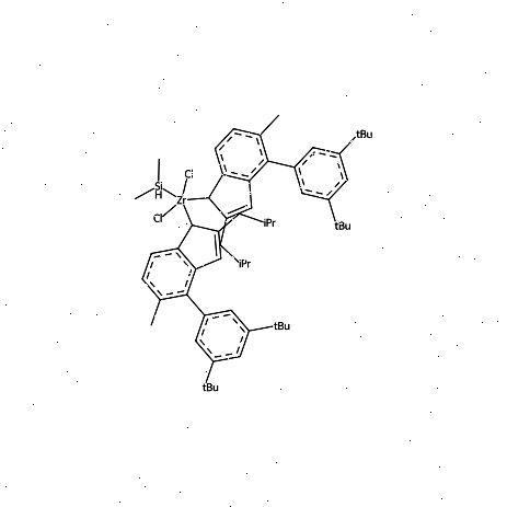 Cc1ccc2c(c1-c1cc(C(C)(C)C)cc(C(C)(C)C)c1)C=C(CC(C)C)[CH]2[Zr]([Cl])([Cl])([CH]1C(CC(C)C)=Cc2c1ccc(C)c2-c1cc(C(C)(C)C)cc(C(C)(C)C)c1)[SiH](C)C